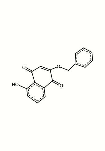 O=C1C(OCc2ccccc2)=CC(=O)c2c(O)cccc21